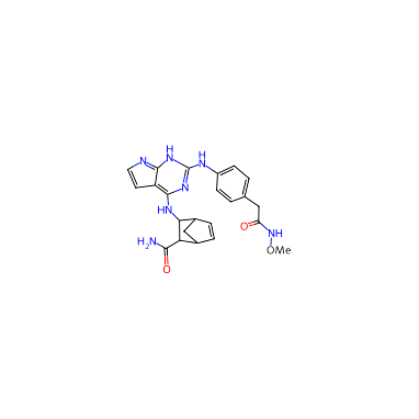 CONC(=O)Cc1ccc(Nc2nc(NC3C4C=CC(C4)C3C(N)=O)c3ccnc-3[nH]2)cc1